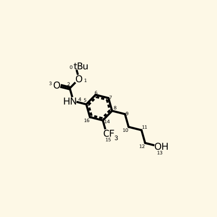 CC(C)(C)OC(=O)Nc1ccc(CCCCO)c(C(F)(F)F)c1